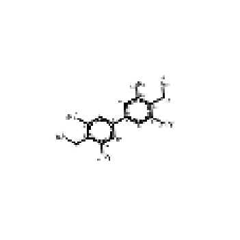 CC(=O)Cc1c(C(C)C)cc(-c2cc(C(C)C)c(CC(C)=O)c(C(C)C)c2)cc1C(C)C